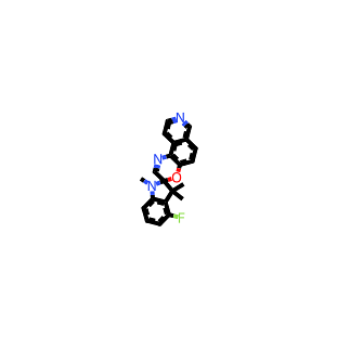 CN1c2cccc(F)c2C(C)(C)C12C=Nc1c(ccc3cnccc13)O2